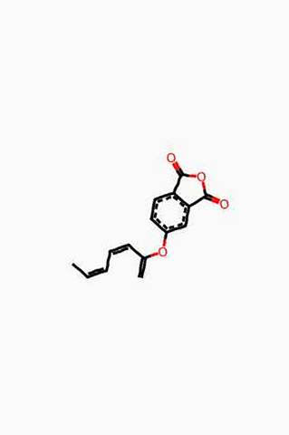 C=C(/C=C\C=C/C)Oc1ccc2c(c1)C(=O)OC2=O